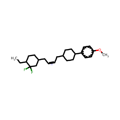 CCC1CCC(C/C=C\CC2CCC(c3ccc(OC)cc3)CC2)CC1(F)F